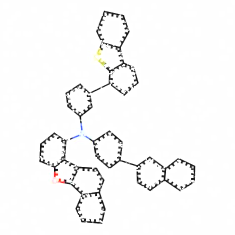 c1cc(-c2cccc3c2sc2ccccc23)cc(N(c2ccc(-c3ccc4ccccc4c3)cc2)c2cccc3oc4c5ccccc5ccc4c23)c1